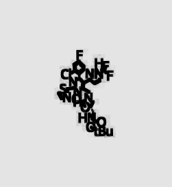 CC(C)(C)OC(=O)NC[C@H]1CN(CC2=C(C(=N)/C=C\NC(F)F)[C@H](c3ccc(F)cc3Cl)N=C(c3nccs3)N2)C(=O)O1